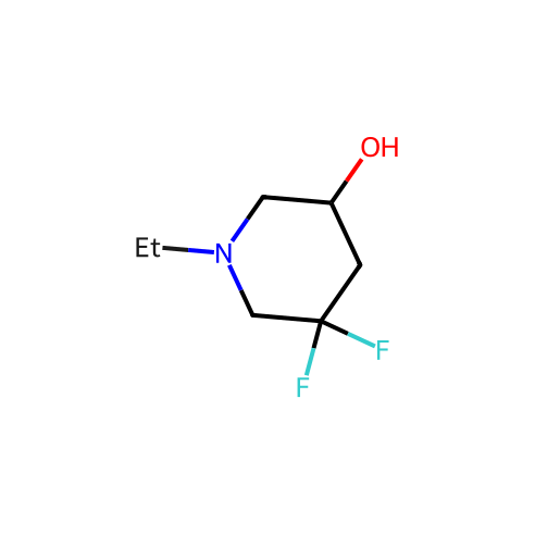 CCN1CC(O)CC(F)(F)C1